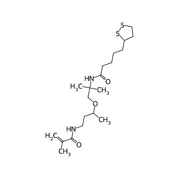 C=C(C)C(=O)NCCC(C)OCC(C)(C)NC(=O)CCCCC1CCSS1